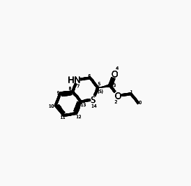 CCOC(=O)[C@@H]1CNc2ccccc2S1